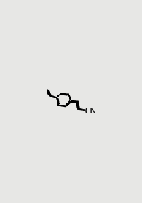 C=Cc1ccc(/C=C/C#N)cc1